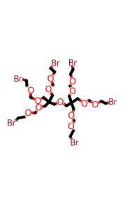 BrCCOCOCC(COCOCCBr)(COCOCCBr)COCC(COCOCCBr)(COCOCCBr)COCOCCBr